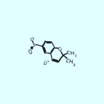 CC1(C)C=Cc2cc(S(=O)[O-])ccc2O1.[Li+]